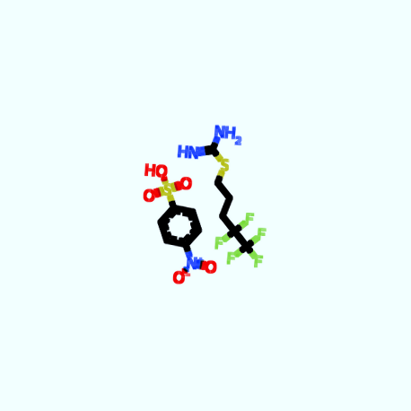 N=C(N)SCCCC(F)(F)C(F)(F)F.O=[N+]([O-])c1ccc(S(=O)(=O)O)cc1